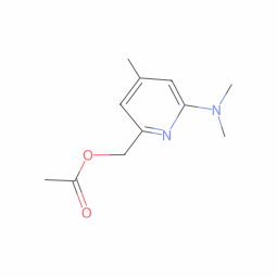 CC(=O)OCc1cc(C)cc(N(C)C)n1